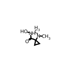 CN(C)C1(C(=O)NO)CC1